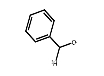 [3H]C([O])c1ccccc1